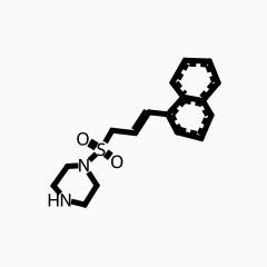 O=S(=O)(CC=Cc1cccc2ccccc12)N1CCNCC1